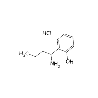 CCCC(N)c1ccccc1O.Cl